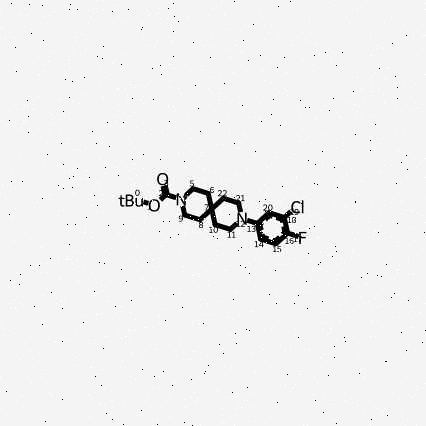 CC(C)(C)OC(=O)N1CCC2(CC1)CCN(c1ccc(F)c(Cl)c1)CC2